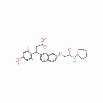 COC(=O)CC(c1ccc2ccc(OCC(=O)NC3CCCCC3)cc2c1)c1c(C)cc(OC)cc1C